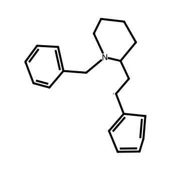 [CH](CC1CCCCN1Cc1ccccc1)c1ccccc1